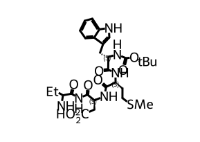 CCC(N)C(=O)NC(=O)[C@H](CC(=O)O)NC(=O)[C@H](CCSC)NC(=O)[C@H](Cc1c[nH]c2ccccc12)NC(=O)OC(C)(C)C